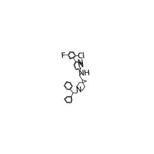 Fc1ccc(Cl)c(-c2ccc(NCC3CC34CCN(CC(c3ccccc3)c3ccccc3)CC4)nn2)c1